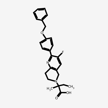 CCC(C)(C(=O)O)N1CCc2nc(-c3ccc(OCc4ccccc4)cc3)c(F)cc2C1